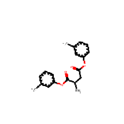 Cc1cccc(OC(=O)CC(C)C(=O)Oc2cccc(C)c2)c1